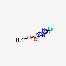 CCCOCCC(=O)N1CCn2c(nc3cc(C(F)(F)F)cnc32)C1